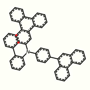 c1ccc(-c2ccccc2N(c2ccc(-c3cc4ccccc4c4ccccc34)cc2)c2ccc3c4ccccc4c4ccccc4c3c2)cc1